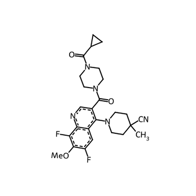 COc1c(F)cc2c(N3CCC(C)(C#N)CC3)c(C(=O)N3CCN(C(=O)C4CC4)CC3)cnc2c1F